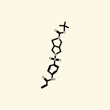 C=CC(=O)Nc1ccc(S(=O)(=O)N2CC3CN(C(=O)OC(C)(C)C)CC3C2)cc1